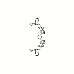 Cn1cc(CC(=O)Nc2nnc([C@@H]3CCC[C@@H](c4nnc(NC(=O)Cc5cn(C)c6ccccc56)s4)C3)s2)c2ccccc21